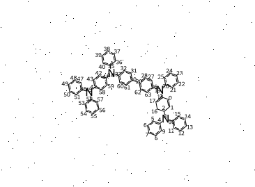 C1=CC(N(c2ccccc2)c2ccccc2)CC=C1N(c1ccccc1)c1ccc(-c2ccc(N(c3ccccc3)c3ccc(N(c4ccccc4)c4ccccc4)cc3)cc2)cc1